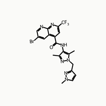 Cc1nn(Cc2ccn(C)n2)c(C)c1NC(=O)c1cc(C(F)(F)F)nc2ncc(Br)cc12